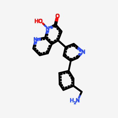 NCc1cccc(-c2cncc(-c3cc(=O)n(O)c4ncccc34)c2)c1